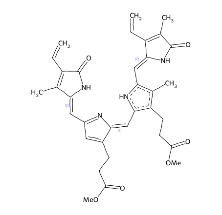 C=CC1=C(C)/C(=C/C2=NC(=C\c3[nH]c(/C=C4\NC(=O)C(C)=C4C=C)c(C)c3CCC(=O)OC)/C(CCC(=O)OC)=C2)NC1=O